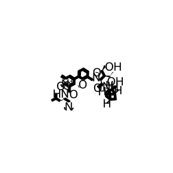 C=C(/C=C(\C=C\C(=O)N[C@@H](CC(C)C)CN(C)C)c1cccc(CN2O[C@@H](CO)[C@@H]([C@H](C)O)[C@H]2C(=O)N[C@H]2C[C@H]3C[C@@H]([C@@H]2C)C3(C)C)c1OC)[N+](=O)[O-]